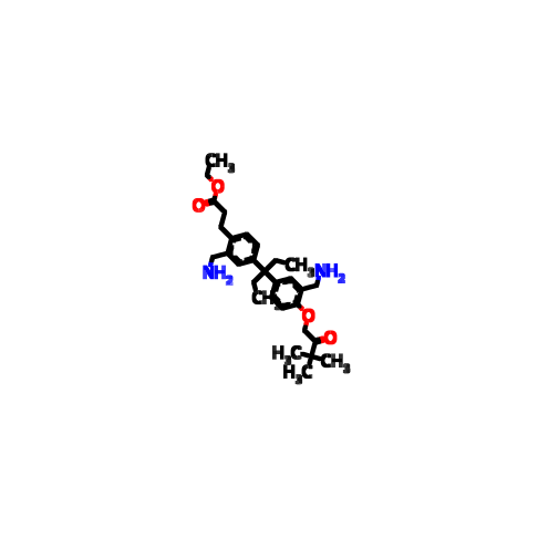 CCOC(=O)CCc1ccc(C(CC)(CC)c2ccc(OCC(=O)C(C)(C)C)c(CN)c2)cc1CN